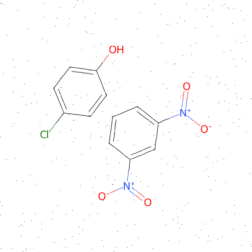 O=[N+]([O-])c1cccc([N+](=O)[O-])c1.Oc1ccc(Cl)cc1